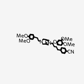 COc1ccc(CCN2CC3CN(C(CCCc4ccc(C#N)cc4)Oc4ccc(OC)c(OC)c4)CC(C2)O3)cc1OC